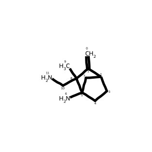 C=C1C2CCC(N)(C2)C1(C)CN